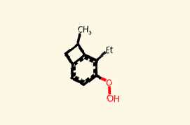 CCc1c(OO)ccc2c1C(C)C2